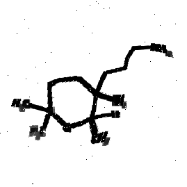 CCC1(C)O[Si](C)(C)CCC1(N)CCCN